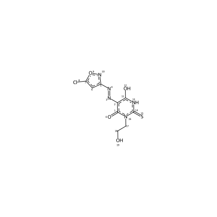 O=c1c(N=Nc2cc(Cl)on2)c(O)[nH]c(=S)n1CCO